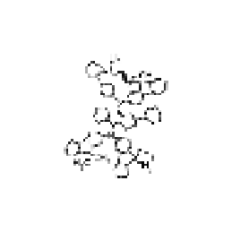 CC1(C)C2=C(CCC=C2)c2ccc(N(c3ccc4c(c3)C(C)(C)c3ccccc3-4)c3c4ccccc4c(N(c4ccc5c(c4)-c4ccccc4C5(C)C)c4ccc5c(c4)C(C)(C)c4ccccc4-5)c4ccc(-c5ccccc5)cc34)cc21